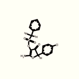 [2H]C1(c2ccc(Cl)cc2)OC(N)=C(OS(=O)(=O)C([2H])([2H])c2ccccc2)C1=O